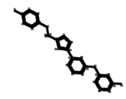 Cc1ccc(CNc2ccc(-c3cccc(Cc4cccc(C)c4)c3)s2)cc1